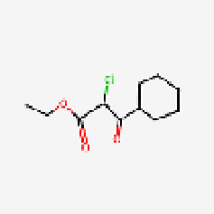 CCOC(=O)C(Cl)C(=O)C1CCCCC1